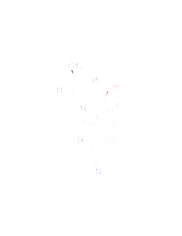 C[C@@H]1[C@@H]2CN(c3cnc(C#N)c(Cl)c3)[C@@H]([C@@H](O)C(F)(F)F)[C@H]12